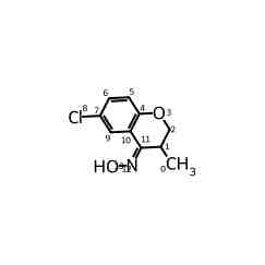 CC1COc2ccc(Cl)cc2C1=NO